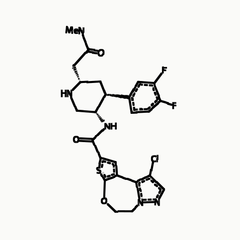 CNC(=O)C[C@@H]1C[C@@H](c2ccc(F)c(F)c2)[C@H](NC(=O)c2cc3c(s2)OCCn2ncc(Cl)c2-3)CN1